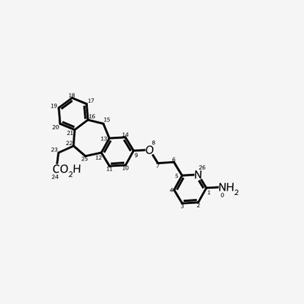 Nc1cccc(CCOc2ccc3c(c2)Cc2ccccc2C(CC(=O)O)C3)n1